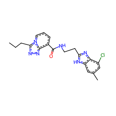 CCCc1nnc2c(C(=O)NCCc3nc4c(Cl)cc(C)cc4[nH]3)cccn12